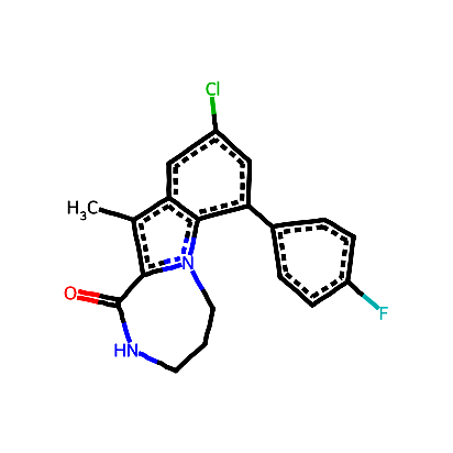 Cc1c2n(c3c(-c4ccc(F)cc4)cc(Cl)cc13)CCCNC2=O